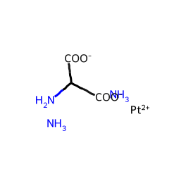 N.N.NC(C(=O)[O-])C(=O)[O-].[Pt+2]